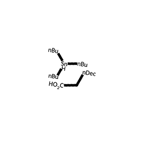 CCCCCCCCCCCC(=O)O.CCC[CH2][SnH]([CH2]CCC)[CH2]CCC